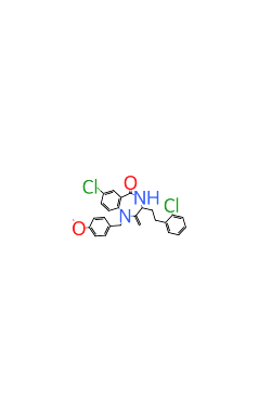 C=C1C(CCc2ccccc2Cl)NC(=O)c2cc(Cl)ccc2N1Cc1ccc(OC)cc1